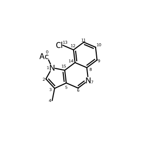 CC(=O)n1cc(C)c2cnc3cccc(Cl)c3c21